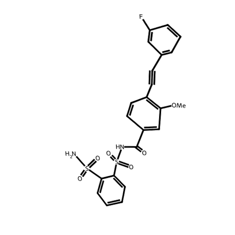 COc1cc(C(=O)NS(=O)(=O)c2ccccc2S(N)(=O)=O)ccc1C#Cc1cccc(F)c1